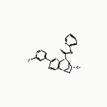 O=C(Nc1ccccn1)N1c2nc(-c3cncc(C(F)(F)F)c3)ccc2N2C[C@@H](O)[C@H]1C2